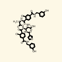 C[C@H](NC(=O)c1ccc(C(=O)NCc2cccc(O)c2)cc1Cl)C(=O)ON(C(=O)c1ccc(C(=O)NCc2cccc(O)c2)cc1Cl)C(NC(=O)c1ccoc1)[C@H](N)C(=O)O